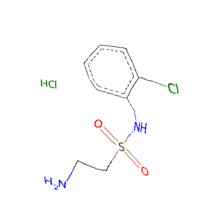 Cl.NCCS(=O)(=O)Nc1ccccc1Cl